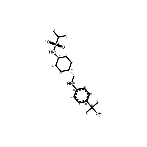 CC(C)S(=O)(=O)N[C@H]1CC[C@H](CNc2ccc(C(C)(C)O)cc2)CC1